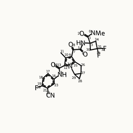 CNC(=O)C1(NC(=O)C(=O)c2c(C)c(C(=O)Nc3ccc(F)c(C#N)c3)n3c2CC2CC23)CC(F)(F)C1